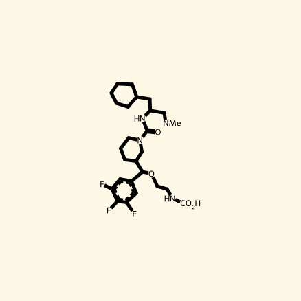 CNCC(CC1CCCCC1)NC(=O)N1CCCC(C(OCCNC(=O)O)c2cc(F)c(F)c(F)c2)C1